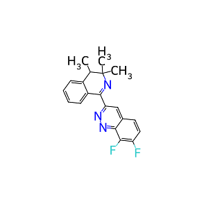 CC1c2ccccc2C(c2cc3ccc(F)c(F)c3nn2)=NC1(C)C